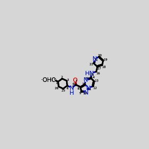 O=[C]C1CCC(NC(=O)c2cnn3ccc(NCc4cccnc4)nc23)CC1